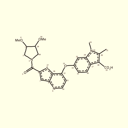 COC1CN(C(=O)c2cc3nccc(Oc4ccc5c(C(=O)O)c(C)n(C)c5c4)c3s2)CC1OC